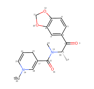 C[C@@H](C(=O)c1ccc2c(c1)OCO2)N(C)C(=O)C1=CN(C(C)(C)C)C=CC1